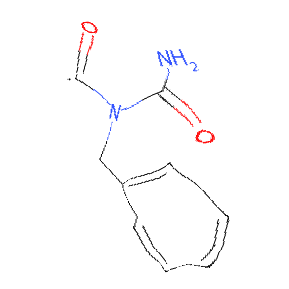 NC(=O)N([C]=O)Cc1ccccc1